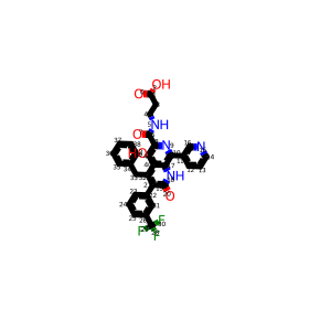 O=C(O)CCNC(=O)c1nc(-c2cccnc2)c2[nH]c(=O)c(-c3cccc(C(F)(F)F)c3)c(Cc3ccccc3)c2c1O